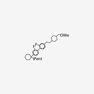 CCCC(C)C1(c2ccc(-c3ccc(CCC4CCC(COC)CC4)cc3F)c(F)c2)CCCCC1